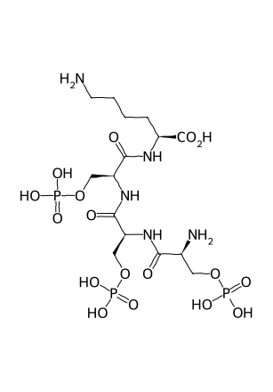 NCCCC[C@H](NC(=O)[C@H](COP(=O)(O)O)NC(=O)[C@H](COP(=O)(O)O)NC(=O)[C@@H](N)COP(=O)(O)O)C(=O)O